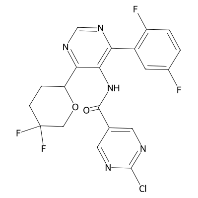 O=C(Nc1c(-c2cc(F)ccc2F)ncnc1C1CCC(F)(F)CO1)c1cnc(Cl)nc1